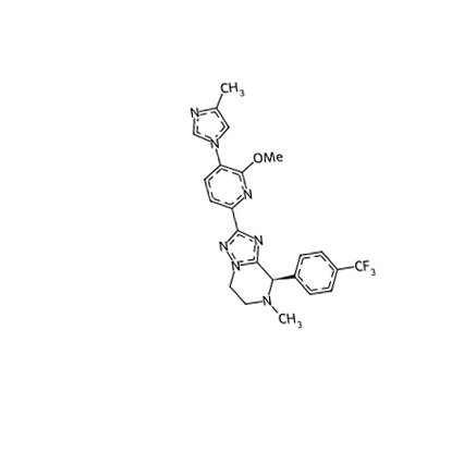 COc1nc(-c2nc3n(n2)CCN(C)[C@@H]3c2ccc(C(F)(F)F)cc2)ccc1-n1cnc(C)c1